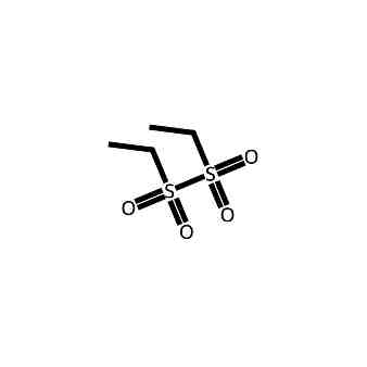 CCS(=O)(=O)S(=O)(=O)CC